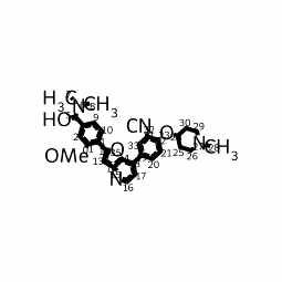 COc1cc(C(O)N(C)C)ccc1-c1cc2nccc(-c3ccc(OC4CCN(C)CC4)c(C#N)c3)c2o1